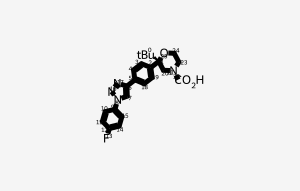 CC(C)(C)[C@]1(c2ccc(-c3cn(-c4ccc(F)cc4)nn3)cc2)CN(C(=O)O)CCO1